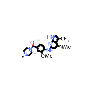 CNc1cc(Nc2cc(F)c(C(=O)N3CCN(C)C[C@H]3C)cc2OC)nc2[nH]cc(C(F)(F)F)c12